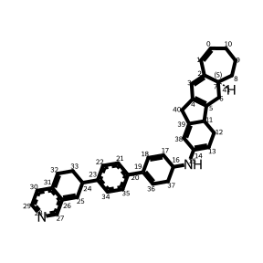 C1=CC2=CC3=C(C[C@@H]2CCC1)C1CC=C(NC2C=CC(c4ccc(C5C=c6cnccc6=CC5)cc4)=CC2)C=C1C3